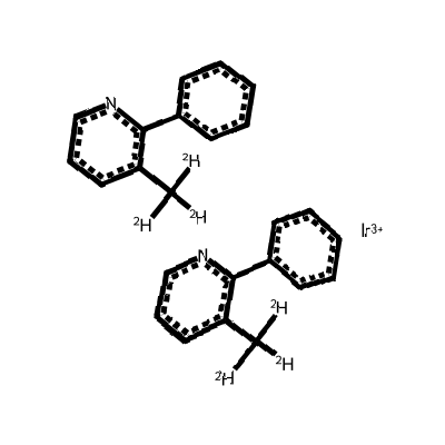 [2H]C([2H])([2H])c1cccnc1-c1ccccc1.[2H]C([2H])([2H])c1cccnc1-c1ccccc1.[Ir+3]